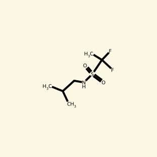 CC(C)CNS(=O)(=O)C(C)(F)F